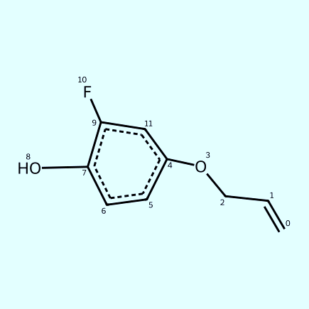 C=CCOc1ccc(O)c(F)c1